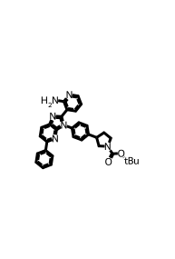 CC(C)(C)OC(=O)N1CCC(c2ccc(-n3c(-c4cccnc4N)nc4ccc(-c5ccccc5)nc43)cc2)C1